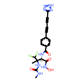 CNC(=O)NC(C)(C(F)F)[C@H](NC(=O)c1ccc(C#CC#Cc2nn[nH]n2)cc1)C(=O)NO